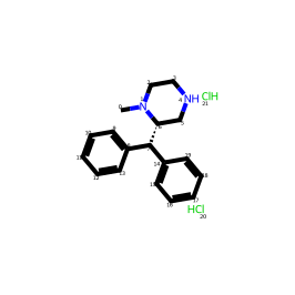 CN1CCNC[C@@H]1C(c1ccccc1)c1ccccc1.Cl.Cl